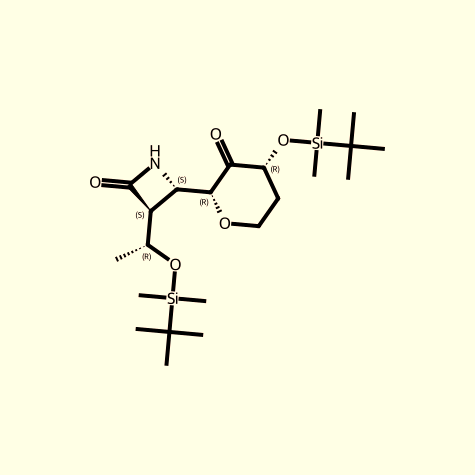 C[C@@H](O[Si](C)(C)C(C)(C)C)[C@H]1C(=O)N[C@@H]1[C@H]1OCC[C@@H](O[Si](C)(C)C(C)(C)C)C1=O